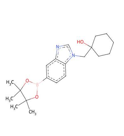 CC1(C)OB(c2ccc3c(c2)ncn3CC2(O)CCCCC2)OC1(C)C